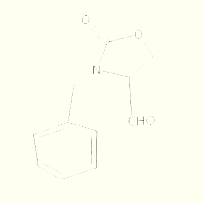 O=CC1COC(=O)N1Cc1ccccc1